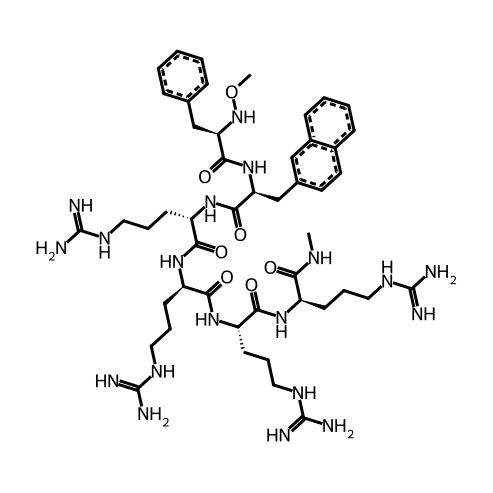 CNC(=O)[C@@H](CCCNC(=N)N)NC(=O)[C@H](CCCNC(=N)N)NC(=O)[C@@H](CCCNC(=N)N)NC(=O)[C@H](CCCNC(=N)N)NC(=O)[C@H](Cc1ccc2ccccc2c1)NC(=O)[C@@H](Cc1ccccc1)NOC